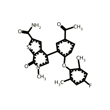 CC(=O)c1ccc(Oc2c(C)cc(F)cc2C)c(-c2cn(C)c(=O)c3sc(C(N)=O)cc23)c1